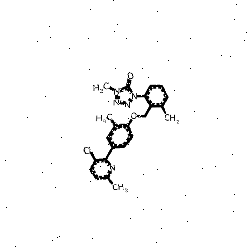 Cc1ccc(Cl)c(-c2ccc(OCc3c(C)cccc3-n3nnn(C)c3=O)c(C)c2)n1